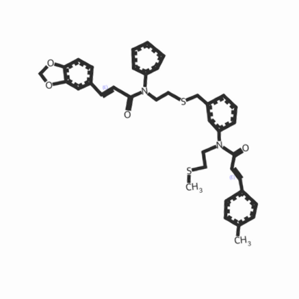 CSCCN(C(=O)/C=C/c1ccc(C)cc1)c1cccc(CSCCN(C(=O)/C=C/c2ccc3c(c2)OCO3)c2ccccc2)c1